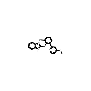 COc1ccnc(-c2cccc(Cl)c2Sc2nc3ccccc3[nH]2)c1